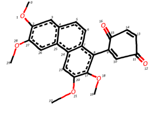 COc1cc2ccc3c(C4=CC(=O)C=CC4=O)c(OC)c(OC)cc3c2cc1OC